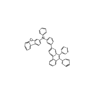 c1ccc(-c2c(-c3ccccc3)c3cc(-c4cccc(N(c5ccccc5)c5ccc6c(c5)oc5ccccc56)c4)ccc3c3ccccc23)cc1